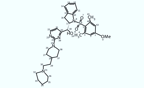 COc1cc(C)c(S(=O)(=O)N2c3ccccc3C[C@H]2C(O)c2ccnc(N3CCC(CCN4CCCCC4)CC3)n2)c(C)c1